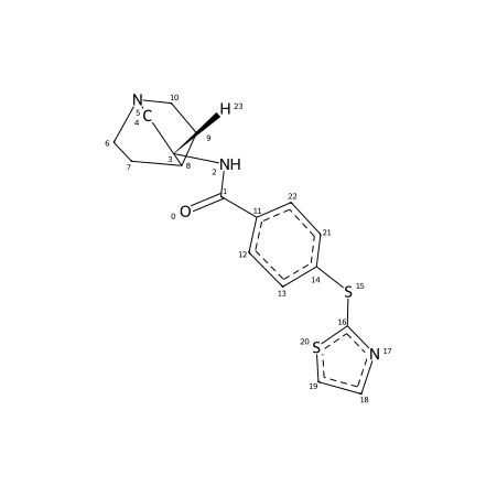 O=C(N[C@H]1CN2CCC1CC2)c1ccc(Sc2nccs2)cc1